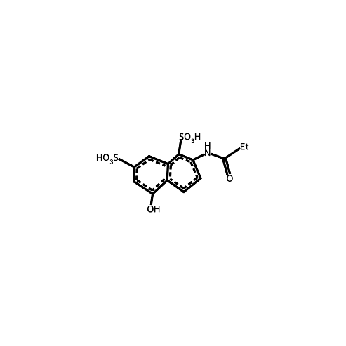 CCC(=O)Nc1ccc2c(O)cc(S(=O)(=O)O)cc2c1S(=O)(=O)O